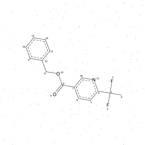 CC(F)(F)c1ccc(C(=O)OCc2ccccc2)cn1